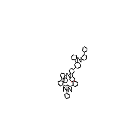 C1=CC(c2ccc3c(c2)c2ccccc2n3-c2cccc3c2oc2c(-c4cc(-c5ccccc5)nc(-c5ccccc5)n4)cccc23)=Cc2c(n(-c3cccc(-c4ccccc4)c3)c3ccccc23)C1